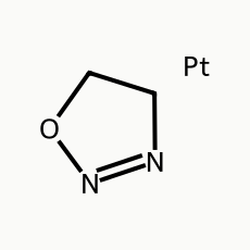 C1CON=N1.[Pt]